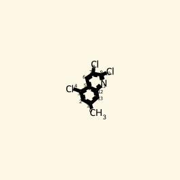 Cc1cc(Cl)c2cc(Cl)c(Cl)nc2c1